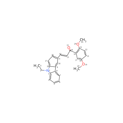 CCn1c2ccccc2c2cc(C=CC(=O)c3cc(OC)ccc3OC)ccc21